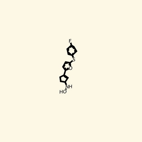 ONC1C=C(c2ccc(Sc3ccc(F)cc3)o2)CC1